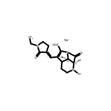 CC(=O)N1CCC2C(/C=C3\CCN(CC(F)(F)F)C3=O)=C(C(=O)[O-])N3C(=O)[C@@H]1[C@@H]23.[Na+]